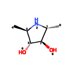 C[C@H]1N[C@H](C)[C@@H](O)[C@@H]1O